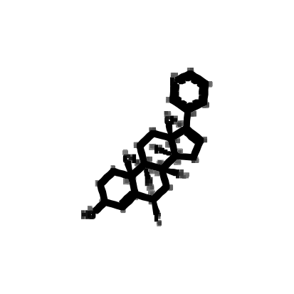 C[C@]12CCC(O)C=C1[C@H](F)C[C@@H]1[C@@H]2CC[C@]2(C)C(c3cccnc3)=CC[C@@H]12